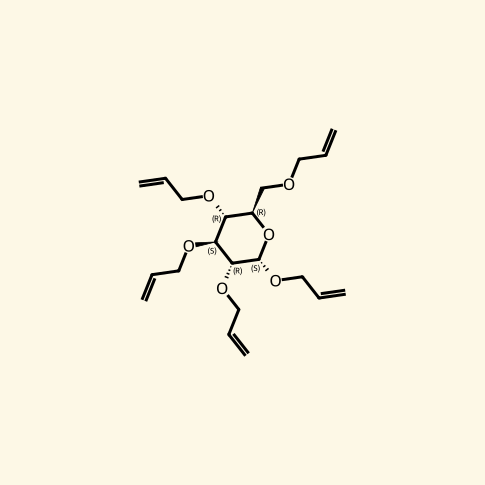 C=CCOC[C@H]1O[C@H](OCC=C)[C@H](OCC=C)[C@@H](OCC=C)[C@@H]1OCC=C